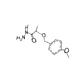 COc1ccc(COC(C)C(=O)NN)cc1